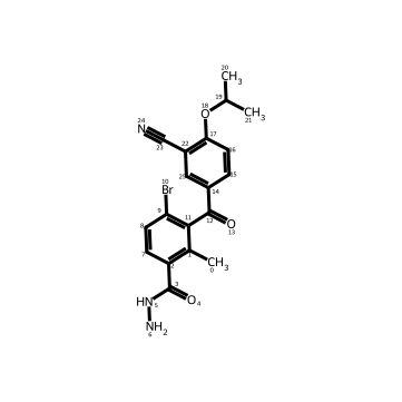 Cc1c(C(=O)NN)ccc(Br)c1C(=O)c1ccc(OC(C)C)c(C#N)c1